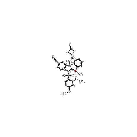 COc1ccc(S(=O)(=O)N2C(=O)C(NC(=O)N3CC(=O)C3)(c3cccnc3OC)c3cc(C#N)ccc32)c(OC)c1